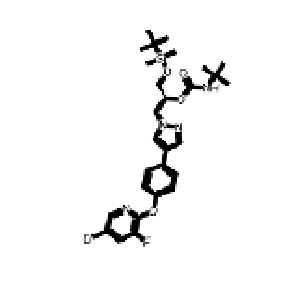 CC(C)(C)NC(=O)O[C@H](CO[Si](C)(C)C(C)(C)C)Cn1cc(-c2ccc(Oc3ncc(Cl)cc3F)cc2)cn1